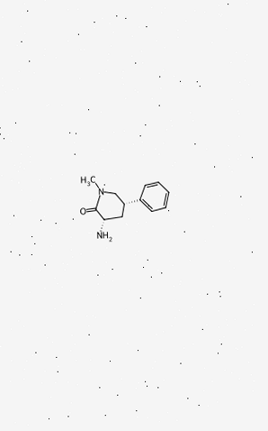 CN1C[C@H](c2ccccc2)C[C@H](N)C1=O